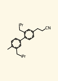 Cc1ccc(-c2ccc(CCC#N)cc2CC(C)C)cc1CC(C)C